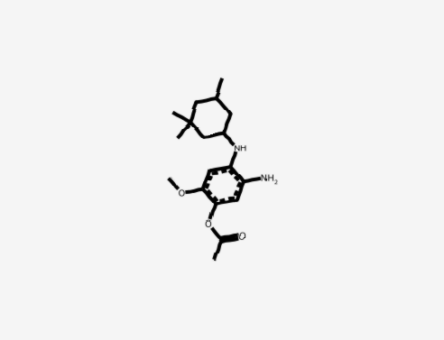 COc1cc(NC2CC(C)CC(C)(C)C2)c(N)cc1OC(C)=O